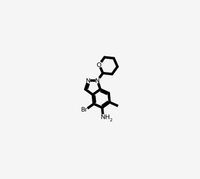 Cc1cc2c(cnn2C2CCCCO2)c(Br)c1N